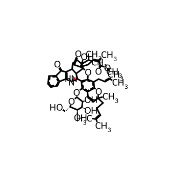 COC(=O)/C(C)=C\CC1(O)C(=O)C2CC(C(C)C)C13Oc1c(CC=C(C)C)c4c(c(O[C@H]5O[C@@H](CO)[C@H](O)[C@@H](O)[C@@H]5O)c1C15NCCN1C1=C(C(=O)c6ccccc61)C2C53)C=CC(C)(CCC=C(C)C)O4